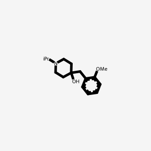 COc1ccccc1CC1(O)CCN(C(C)C)CC1